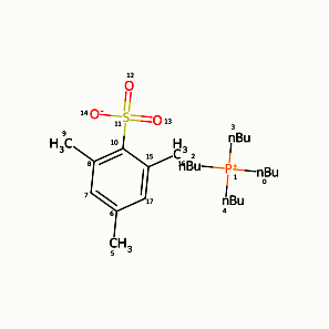 CCCC[P+](CCCC)(CCCC)CCCC.Cc1cc(C)c(S(=O)(=O)[O-])c(C)c1